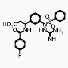 N=C(N)NN(c1cccc(C(CC(=O)O)NC(=O)c2ccc(F)cc2)c1)S(=O)(=O)c1ccccc1